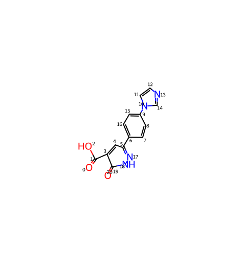 O=C(O)c1cc(-c2ccc(-n3ccnc3)cc2)n[nH]c1=O